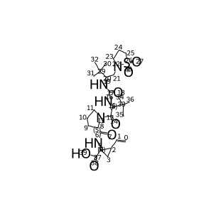 C=CC1C[C@]1(NC(=O)[C@@H]1CCCN1C(=O)[C@@H](NC(=O)NC(CN1CCCS1(=O)=O)C(C)(C)C)C(C)(C)C)C(=O)O